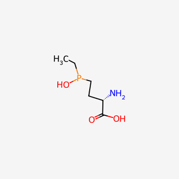 CCP(O)CC[C@H](N)C(=O)O